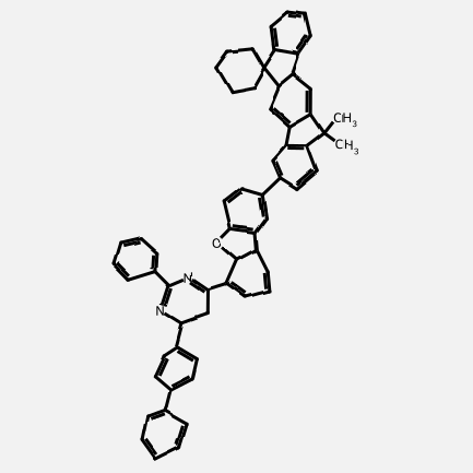 CC1(C)C2=CC3c4ccccc4C4(CCCCC4)C3C=C2c2cc(-c3ccc4c(c3)C3C=CC=C(C5=NC(c6ccccc6)=NC(c6ccc(-c7ccccc7)cc6)C5)C3O4)ccc21